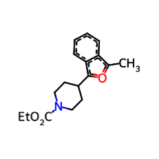 CCOC(=O)N1CCC(c2oc(C)c3ccccc23)CC1